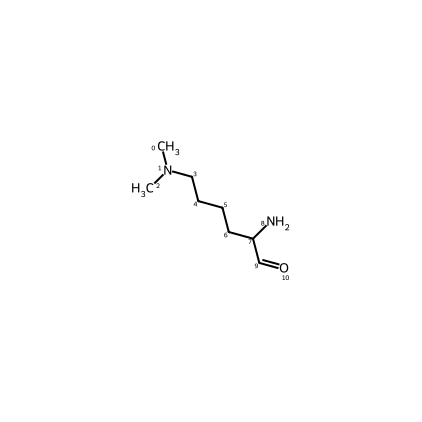 CN(C)CCCCC(N)C=O